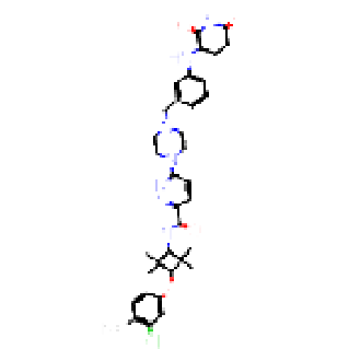 CC1(C)C(NC(=O)c2ccc(N3CCN(Cc4cccc(NC5CCC(=O)NC5=O)c4)CC3)nn2)C(C)(C)C1Oc1ccc(C#N)c(Cl)c1